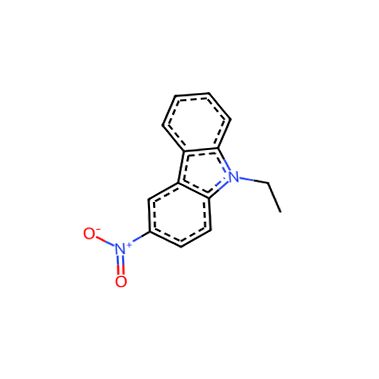 CCn1c2ccccc2c2cc([N+](=O)[O-])ccc21